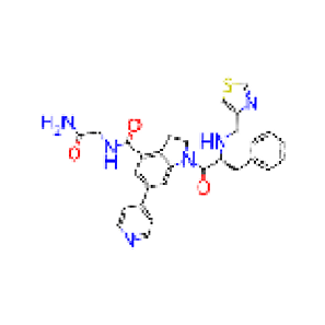 NC(=O)CNC(=O)c1cc(-c2ccncc2)cc2c1CCN2C(=O)[C@H](Cc1ccccc1)NCc1cscn1